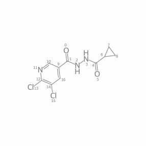 O=C(NNC(=O)C1CC1)c1cnc(Cl)c(Cl)c1